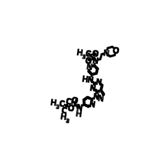 CC(C)(C)OC(=O)Nc1ccc(-n2ncc3cnc(Nc4ccc(N(CCN5CCOCC5)S(C)(=O)=O)nc4)nc32)nc1